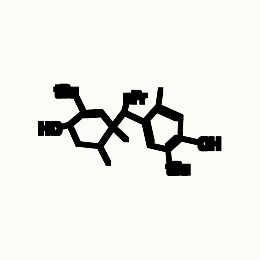 CCCC(c1cc(C(C)(C)C)c(O)cc1C)C1(C)C=C(C(C)(C)C)C(O)CC1C